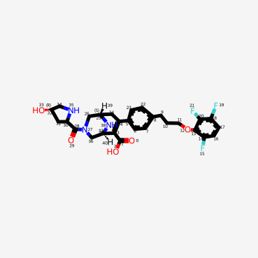 O=C(O)C1=C(c2ccc(CCCOc3c(F)ccc(F)c3F)cc2)C[C@H]2CN(C(=O)C3C[C@@H](O)CN3)C[C@H]1N2